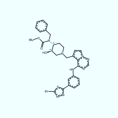 CC(C)c1nnc(-c2cccc(Nc3ncnn4ccc(CN5CC[C@@H](N(Cc6ccccc6)C(=O)OC(C)(C)C)[C@H](O)C5)c34)c2)s1